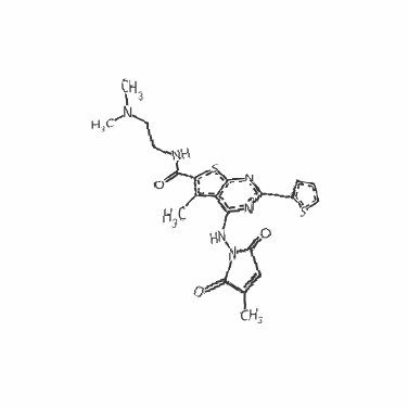 CC1=CC(=O)N(Nc2nc(-c3cccs3)nc3sc(C(=O)NCCN(C)C)c(C)c23)C1=O